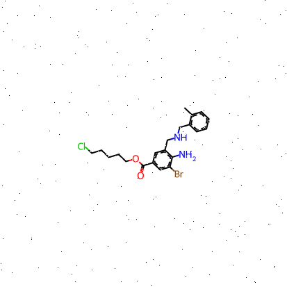 Cc1ccccc1CNCc1cc(C(=O)OCCCCCCl)cc(Br)c1N